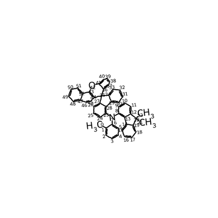 Cc1ccccc1N(c1cccc2c1-c1ccccc1C2(C)C)c1cccc2c1-c1ccccc1C21c2ccccc2Oc2c1ccc1ccccc21